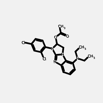 CCN(CC)c1cccc2nc3n(c12)CC(OC(C)=O)N3c1ccc(Cl)cc1Cl